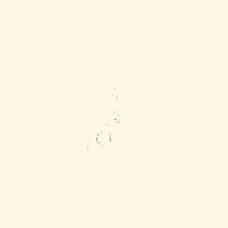 CC(C)(C)OC(=O)N1CC2CN(Cc3ccc(F)cc3)CC(C1)N2CC(=O)CCl